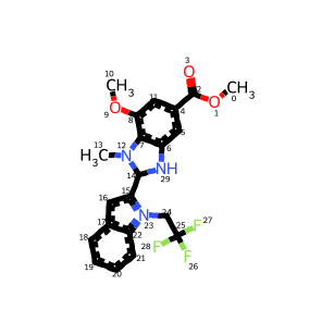 COC(=O)c1cc2c(c(OC)c1)N(C)C(c1cc3ccccc3n1CC(F)(F)F)N2